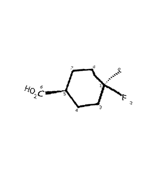 C[C@]1(F)CC[C@@H](C(=O)O)CC1